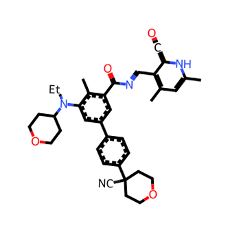 CCN(c1cc(-c2ccc(C3(C#N)CCOCC3)cc2)cc(C(=O)N=CC2=C(C)C=C(C)NC2=C=O)c1C)C1CCOCC1